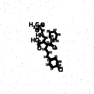 CS(=O)(=O)CNCC(C(=O)O)C(CCCc1ccc(Cl)cc1)C(=O)N1CCCCC1